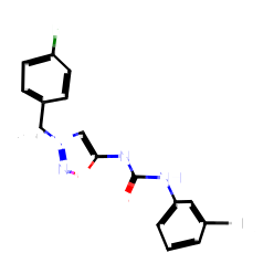 C[C@H](c1ccc(Br)cc1)[n+]1cc([N-]C(=O)Nc2cccc(C(F)(F)F)c2)on1